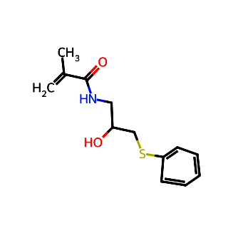 C=C(C)C(=O)NCC(O)CSc1ccccc1